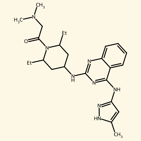 CCC1CC(Nc2nc(Nc3cc(C)[nH]n3)c3ccccc3n2)CC(CC)N1C(=O)CN(C)C